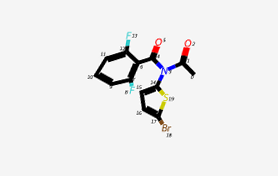 CC(=O)N(C(=O)c1c(F)cccc1F)c1ccc(Br)s1